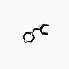 C=C/C(=C\C)CN1CCOCC1